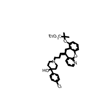 CCOC(=O)C(C)(C)Oc1cccc2c1C/C(=C/CCN1CCC(O)(c3ccc(Cl)cc3)CC1)c1cccnc1O2